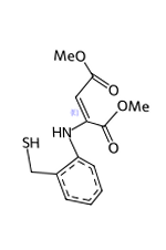 COC(=O)/C=C(/Nc1ccccc1CS)C(=O)OC